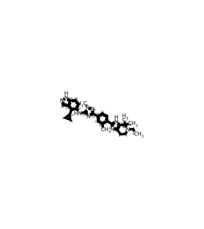 CCN1CCc2nc(-c3ccc(-c4nc(Nc5ccc6[nH]ncc6c5C5CC5)n(C)n4)cc3C)[nH]c2C1(C)C